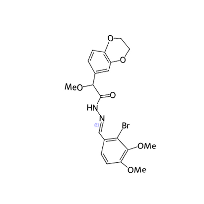 COc1ccc(/C=N/NC(=O)C(OC)c2ccc3c(c2)OCCO3)c(Br)c1OC